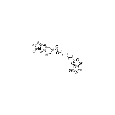 O=C(CCCCCOC(=O)C1CCC(CN2C(=O)C=CC2=O)CC1)ON1C(=O)C=CC1=O